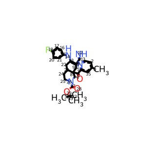 Cc1ccnc(C(=O)C23CC(C=N)=C(Nc4ccc(F)cc4)CC2CCN(C(=O)OC(C)(C)C)C3)c1